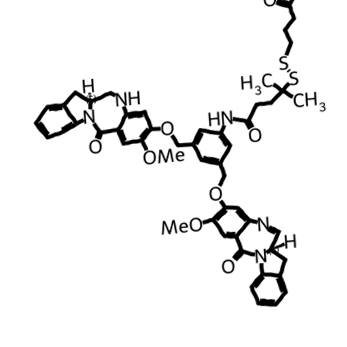 CCC(=O)CCCSSC(C)(C)CCC(=O)Nc1cc(COc2cc3c(cc2OC)C(=O)N2c4ccccc4C[C@H]2C=N3)cc(COc2cc3c(cc2OC)C(=O)N2c4ccccc4C[C@H]2CN3)c1